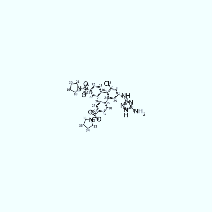 Nc1nc(Nc2cc(Cl)c(-c3ccc(S(=O)(=O)N4CCCC4)cc3)c(-c3ccc(S(=O)(=O)N4CCCC4)cc3)c2)n[nH]1